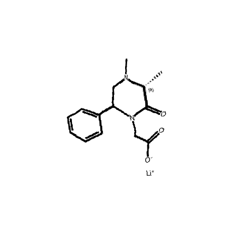 C[C@@H]1C(=O)N(CC(=O)[O-])C(c2ccccc2)CN1C.[Li+]